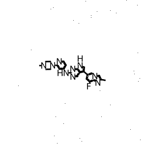 Cc1cn2cc(-c3c[nH]c4nc(Nc5ccnc(N6CCN(C)CC6)c5)ncc34)cc(F)c2n1